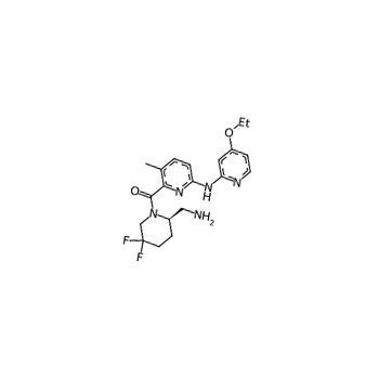 CCOc1ccnc(Nc2ccc(C)c(C(=O)N3CC(F)(F)CC[C@@H]3CN)n2)c1